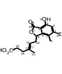 CCc1cc(O)c2c(c1C)C(C/C=C(\C)CCC(=O)O)OC2=O